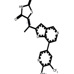 COc1ncc(-c2cncc3cc(/C(C)=C4\SC(=O)NC4=O)oc23)cc1C(F)(F)F